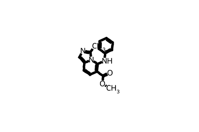 COC(=O)c1ccc2cnc(C)n2c1Nc1ccccc1